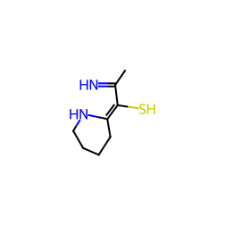 CC(=N)/C(S)=C1/CCCCN1